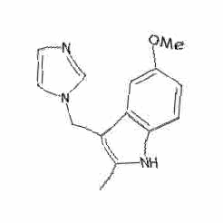 COc1ccc2[nH]c(C)c(Cn3ccnc3)c2c1